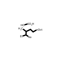 CCCCCCCCCCC(C)[CH]([Na])CC.O=S(=O)(O)O